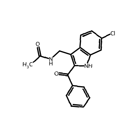 CC(=O)NCc1c(C(=O)c2ccccc2)[nH]c2cc(Cl)ccc12